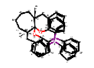 c1ccc(P(c2ccccc2)c2cccc3c2OC24Oc5c(cccc5P(c5ccccc5)c5ccccc5)C[C@H]2CCCC[C@@H]4C3)cc1